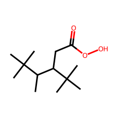 CC(C(CC(=O)OO)C(C)(C)C)C(C)(C)C